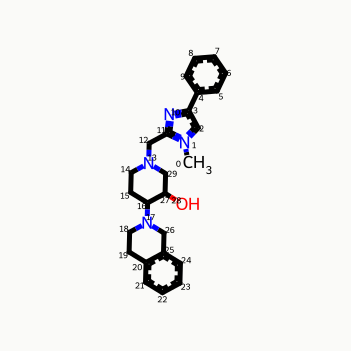 Cn1cc(-c2ccccc2)nc1CN1CCC(N2CCc3ccccc3C2)C(O)C1